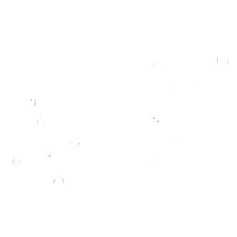 CC(C)[Si](OC(C[C@H]1COC(C)(C)N1C(=O)OC(C)(C)C)C[N+](=O)[O-])(C(C)C)C(C)C